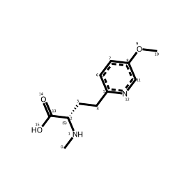 CN[C@@H](CCc1ccc(OC)cn1)C(=O)O